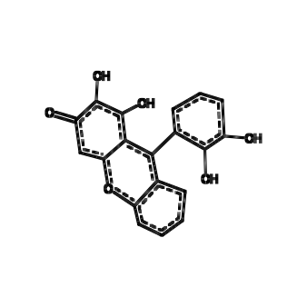 O=c1cc2oc3ccccc3c(-c3cccc(O)c3O)c-2c(O)c1O